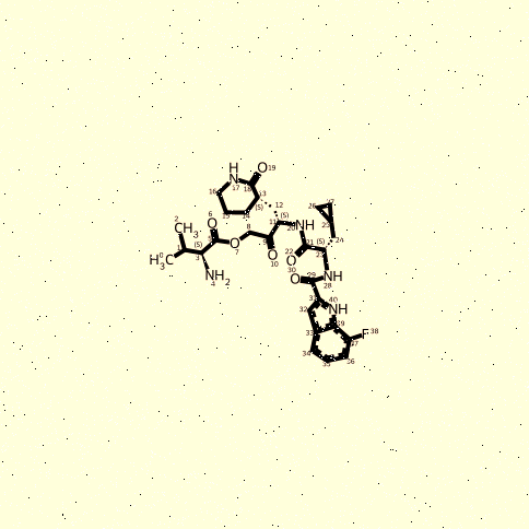 CC(C)[C@H](N)C(=O)OCC(=O)[C@H](C[C@@H]1CCCNC1=O)NC(=O)[C@H](CC1CC1)NC(=O)c1cc2cccc(F)c2[nH]1